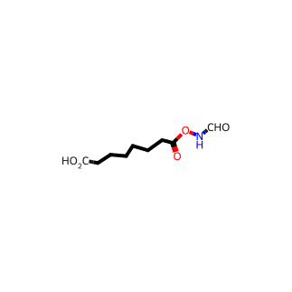 O=CNOC(=O)CCCCCCC(=O)O